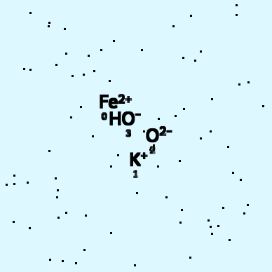 [Fe+2].[K+].[O-2].[OH-]